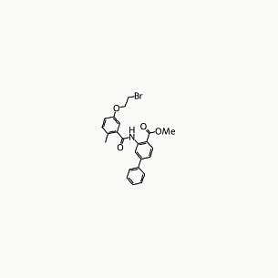 COC(=O)c1ccc(-c2ccccc2)cc1NC(=O)c1cc(OCCBr)ccc1C